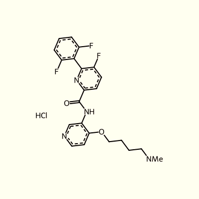 CNCCCCOc1ccncc1NC(=O)c1ccc(F)c(-c2c(F)cccc2F)n1.Cl